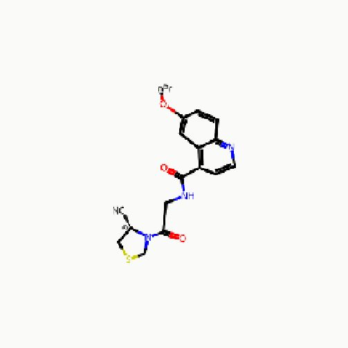 CCCOc1ccc2nccc(C(=O)NCC(=O)N3CSC[C@H]3C#N)c2c1